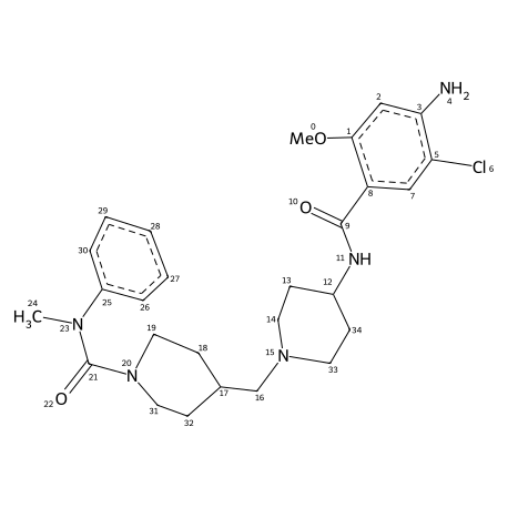 COc1cc(N)c(Cl)cc1C(=O)NC1CCN(CC2CCN(C(=O)N(C)c3ccccc3)CC2)CC1